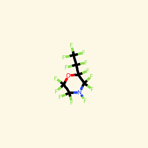 FN1C(F)(F)C(F)(F)OC(F)(C(F)(F)C(F)(F)F)C1(F)F